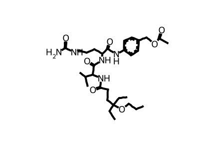 CCCOC(CC)(CC)CCC(=O)NC(C(=O)NC(CCCNC(N)=O)C(=O)Nc1ccc(COC(C)=O)cc1)C(C)C